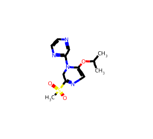 CC(C)OC1=CN=C(S(C)(=O)=O)CN1c1cnccn1